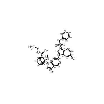 CCOC(=O)[C@@H]1C2CCC(CC2)[C@H]1n1cc(F)c2cnc(-c3cn(S(=O)(=O)Cc4ccccc4)c4ncc(Cl)cc34)nc21